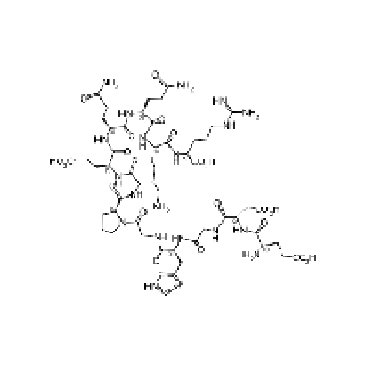 N=C(N)NCCC[C@H](NC(=O)[C@H](CCCCN)NC(=O)[C@H](CCC(N)=O)NC(=O)[C@H](CCC(N)=O)NC(=O)[C@H](CCC(=O)O)NC(=O)CNC(=O)[C@@H]1CCCN1C(=O)CNC(=O)[C@H](Cc1c[nH]cn1)NC(=O)CNC(=O)[C@H](CC(=O)O)NC(=O)[C@@H](N)CCC(=O)O)C(=O)O